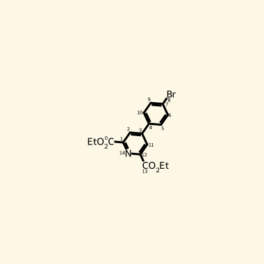 CCOC(=O)c1cc(-c2ccc(Br)cc2)cc(C(=O)OCC)n1